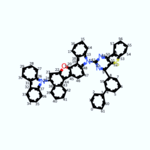 c1ccc(-c2cccc(-c3nc(-n4c5ccccc5c5c6oc7cc(-n8c9ccccc9c9ccccc98)c8ccccc8c7c6ccc54)nc4c3sc3ccccc34)c2)cc1